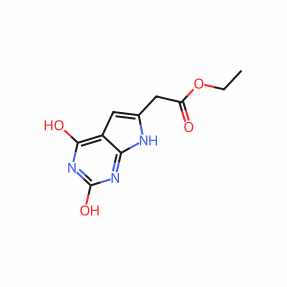 CCOC(=O)Cc1cc2c(O)nc(O)nc2[nH]1